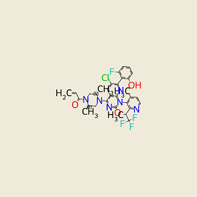 C=CC(=O)N1C[C@H](C)N(c2nc(=O)n(-c3c(C)ccnc3C(C)C(F)(F)F)c3nc(-c4c(O)cccc4F)c(Cl)cc23)C[C@H]1C